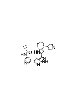 O=C(Nc1cncc(-c2cnc3[nH]nc(-c4cc5c([nH]4)C=C=CC=C5c4ccncc4)c3c2)c1)C1CCC1